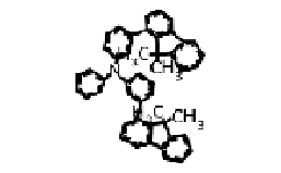 CC1(C)c2ccccc2-c2cccc(-c3cccc(N(c4ccccc4)c4cccc(-c5cccc6c5C(C)(C)c5ccccc5-6)c4)c3)c21